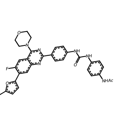 CC(=O)Nc1ccc(NC(=O)Nc2ccc(-c3nc(N4CCOCC4)c4cc(F)c(-c5ccc(C)o5)cc4n3)cc2)cc1